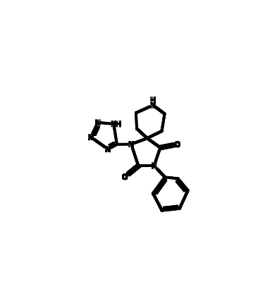 O=C1N(c2ccccc2)C(=O)C2(CCNCC2)N1c1nnn[nH]1